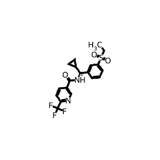 CCS(=O)(=O)c1cccc([C@@H](NC(=O)c2ccc(C(F)(F)F)nc2)C2CC2)c1